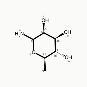 C[C@H]1OC(N)[C@@H](O)[C@@H](O)[C@@H]1O